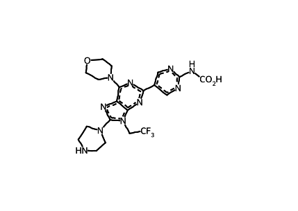 O=C(O)Nc1ncc(-c2nc(N3CCOCC3)c3nc(N4CCNCC4)n(CC(F)(F)F)c3n2)cn1